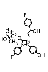 CC(C)(C)O.O=C1[C@H](CCC(O)c2ccc(F)cc2)[C@@H](c2ccc(O)cc2)N1c1ccc(F)cc1